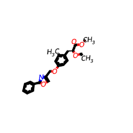 CCO[C@@H](Cc1ccc(OCc2coc(-c3ccccc3)n2)cc1C)C(=O)OC